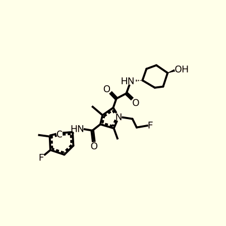 Cc1cc(NC(=O)c2c(C)c(C(=O)C(=O)N[C@H]3CC[C@H](O)CC3)n(CCF)c2C)ccc1F